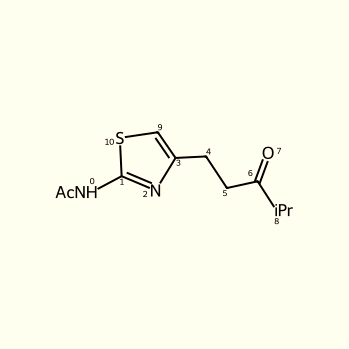 CC(=O)Nc1nc(CCC(=O)C(C)C)cs1